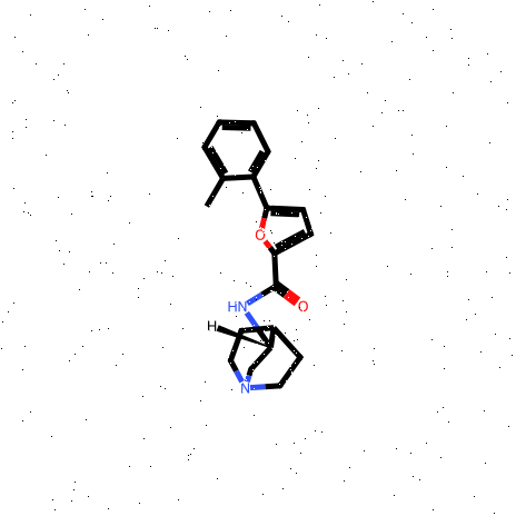 Cc1ccccc1-c1ccc(C(=O)N[C@H]2CN3CCC2CC3)o1